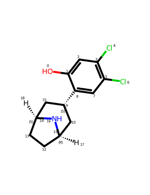 Oc1cc(Cl)c(Cl)cc1[C@@H]1C[C@H]2CC[C@@H](C1)N2